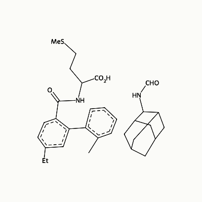 CCc1ccc(C(=O)NC(CCSC)C(=O)O)c(-c2ccccc2C)c1.O=CNC1C2CC3CC(C2)CC1C3